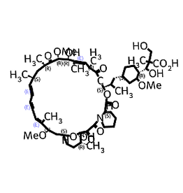 COC1C[C@H](CC(C)[C@@H]2CC(=O)[C@H](C)/C=C(\C)[C@@H](O)[C@@H](OC)C(=O)[C@H](C)C[C@H](C)/C=C/C=C/C=C(\C)[C@@H](OC)C[C@@H]3CC[C@@H](C)[C@@](O)(O3)C(=O)C(=O)N3CCCC[C@H]3C(=O)O2)CC[C@@H]1C(O)C(C)(CO)C(=O)O